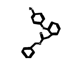 O=C(Cc1ccccc1Sc1ccc(Br)cc1)OCc1ccccc1